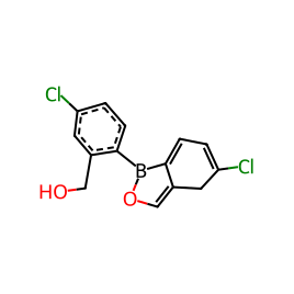 OCc1cc(Cl)ccc1B1OC=C2CC(Cl)=CC=C12